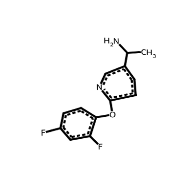 CC(N)c1ccc(Oc2ccc(F)cc2F)nc1